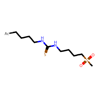 CC(=O)CCCCNC(=S)NCCCCS(C)(=O)=O